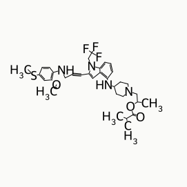 COc1cc(SC)ccc1NCC#Cc1cc2c(NC3CCN(CC(C)OC(=O)C(C)C)CC3)cccc2n1CC(F)(F)F